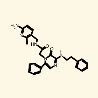 Cc1nc(N)ccc1CNC(=O)Cn1c(-c2ccccc2)cnc(NCCc2ccccc2)c1=O